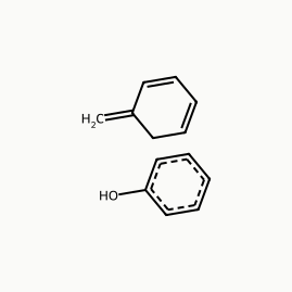 C=C1C=CC=CC1.Oc1ccccc1